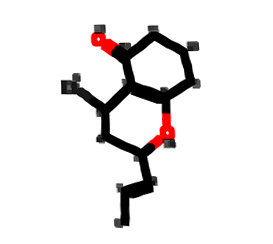 CC=CC1CC(CC)C2=C(CCCC2=O)O1